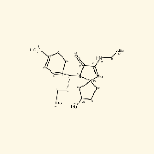 CC(C)(C)CC[C@H](C1=CC=C(C(=O)O)CC1)N1C(=O)C(NCC(C)(C)C)=NC12CCC(C(C)(C)C)C2